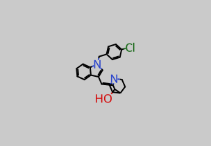 OC1/C(=C/c2cn(Cc3ccc(Cl)cc3)c3ccccc23)N2CCC1CC2